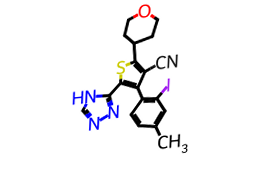 Cc1ccc(-c2c(-c3nnc[nH]3)sc(C3CCOCC3)c2C#N)c(I)c1